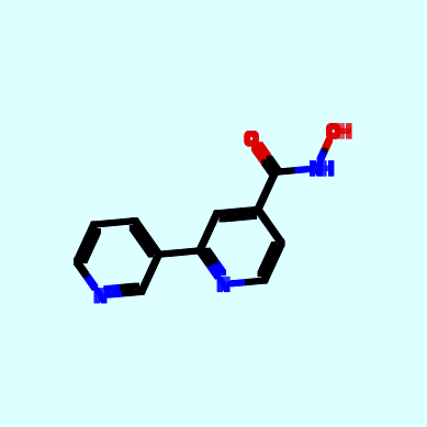 O=C(NO)c1ccnc(-c2cccnc2)c1